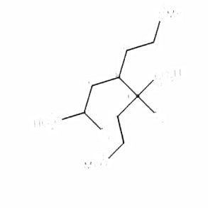 COCCC(CC(I)C(=O)O)C(I)(CCOC)C(=O)O